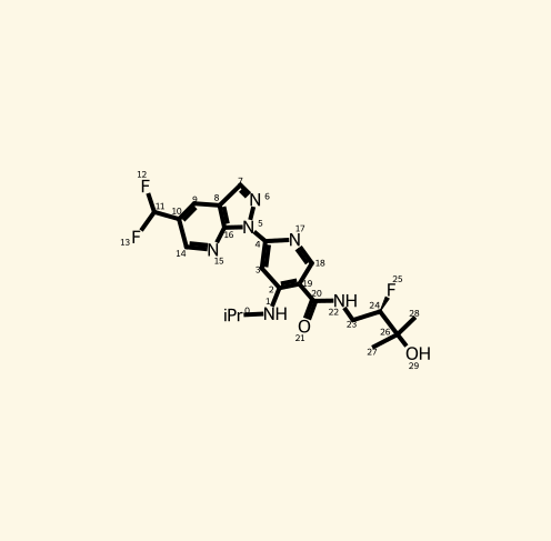 CC(C)Nc1cc(-n2ncc3cc(C(F)F)cnc32)ncc1C(=O)NC[C@@H](F)C(C)(C)O